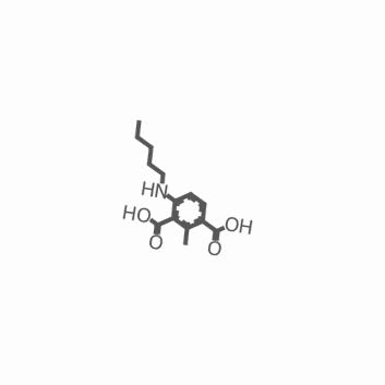 CCCCCNc1ccc(C(=O)O)c(C)c1C(=O)O